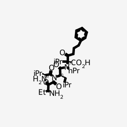 CCCN(C(=O)[C@@H](CC(C)C)N(C(=O)C(=O)C(N)CC)C(=O)[C@@H](N)C(C)C)[C@@](C(=O)O)(C(=O)CCCc1ccccc1)C(C)C